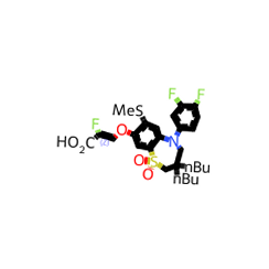 CCCCC1(CCCC)CN(c2ccc(F)c(F)c2)c2cc(SC)c(O/C=C(\F)C(=O)O)cc2S(=O)(=O)C1